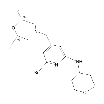 C[C@@H]1CN(Cc2cc(Br)nc(NC3CCOCC3)c2)C[C@H](C)O1